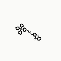 O=c1c2ccccc2sc2ccc(CSCCc3ccc([B-](c4ccccc4)(c4ccccc4)c4ccccc4)cc3)cc12